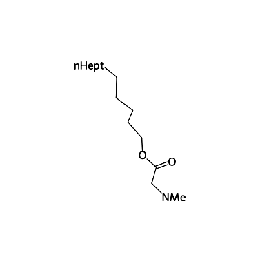 CCCCCCCCCCCCOC(=O)CNC